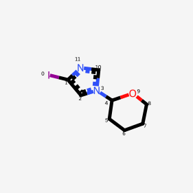 Ic1cn(C2CCCCO2)cn1